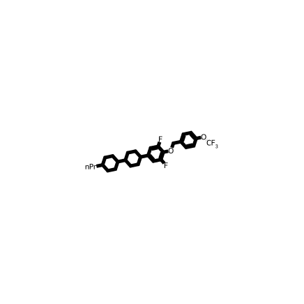 CCCC1CCC(C2CCC(c3cc(F)c(OCc4ccc(OC(F)(F)F)cc4)c(F)c3)CC2)CC1